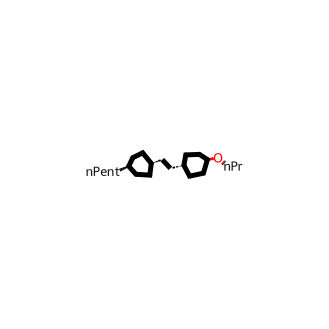 CCCCC[C@H]1CC[C@H](CC[C@H]2CC[C@H](OCCC)CC2)CC1